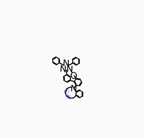 C1=C\Cc2ccccc2N(c2cccc3oc4c(-c5nc(-c6ccccc6)nc(-c6ccccc6)n5)cccc4c23)C\C=C/1